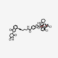 O=C1CCC(N2Cc3c(C#CCCCNC(=O)c4ccc(NC(=O)[C@@H]5NC6(CCCCC6)[C@]67C(=O)Nc8cc(Cl)c(cc86)-c6c(Cl)cccc6[C@@H]57)cc4)cccc3C2=O)C(=O)N1